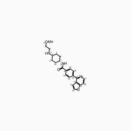 COCCN[C@H]1CC[C@H](NC(=O)c2ccc(-c3nccc4occc34)cc2)CC1